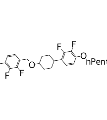 CCCCCOc1ccc(C2CCC(OCc3ccc(C)c(F)c3F)CC2)c(F)c1F